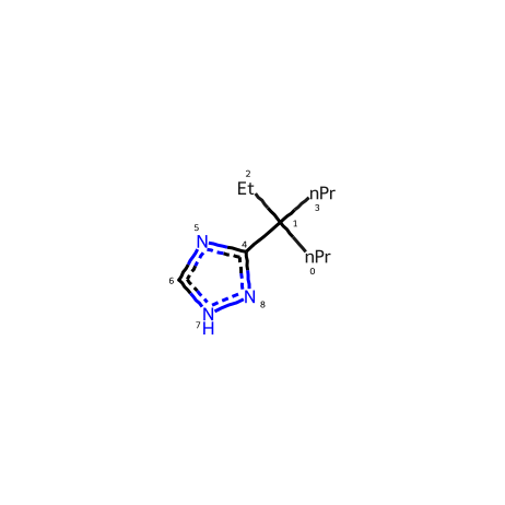 CCCC(CC)(CCC)c1nc[nH]n1